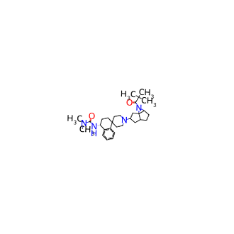 CN(C)C(=O)N[C@@H]1CCC2(CCN(C3CC4CCC5N(C(=O)C(C)(C)C)C45C3)CC2)c2ccccc21